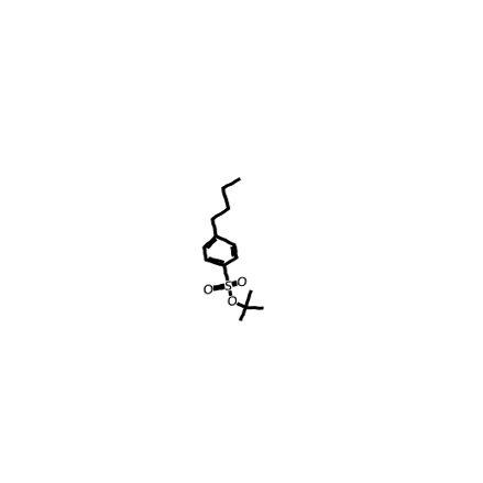 CCCCc1ccc(S(=O)(=O)OC(C)(C)C)cc1